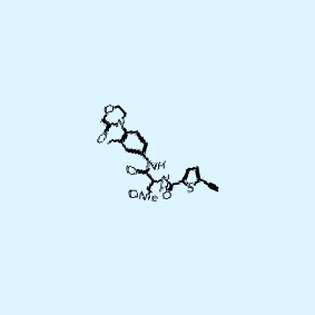 C#Cc1ccc(C(=O)NC(COC)C(=O)Nc2ccc(N3CCOCC3=O)c(C)c2)s1